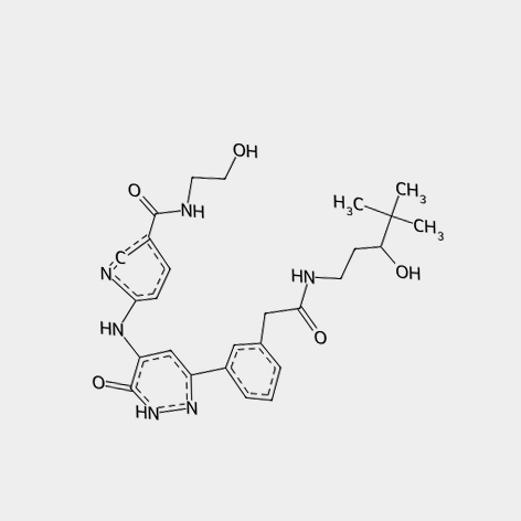 CC(C)(C)C(O)CCNC(=O)Cc1cccc(-c2cc(Nc3ccc(C(=O)NCCO)cn3)c(=O)[nH]n2)c1